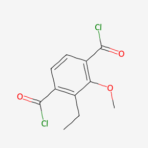 CCc1c(C(=O)Cl)ccc(C(=O)Cl)c1OC